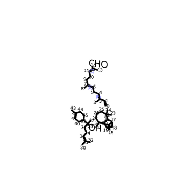 C=C/C(C)=C/C/C=C(\C)CC/C=C(\C)C=O.C=C1C2CCC3C2C(C)(C)CCCC13C.CC(C)=CCCC(C)(O)C1CC=C(C)CC1